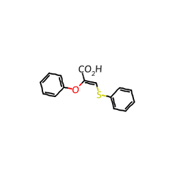 O=C(O)C(=CSc1ccccc1)Oc1ccccc1